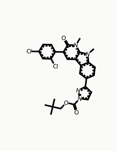 Cn1c(=O)c(-c2ccc(Cl)cc2Cl)cc2c3cc(-c4ccn(C(=O)OCC(C)(C)C)n4)ccc3n(C)c21